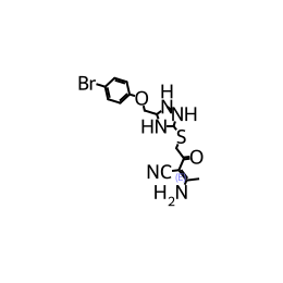 C/C(N)=C(/C#N)C(=O)CSC1NNC(COc2ccc(Br)cc2)N1